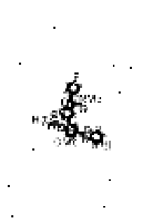 CNC(=O)c1c(-c2ccc(F)cc2)oc2cc(N(C)S(C)(=O)=O)c(-c3ccc(OC)c(-c4nc5cc(Cl)ccc5o4)c3)cc12